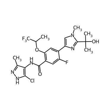 Cc1n[nH]c(Cl)c1NC(=O)c1cc(F)c(-c2cn(C)c(C(C)(C)O)n2)cc1OC(C)C(F)(F)F